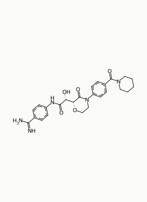 N=C(N)c1ccc(NC(=O)[C@H](O)[C@H]2OCCN(c3ccc(C(=O)N4CCCCC4)cc3)C2=O)cc1